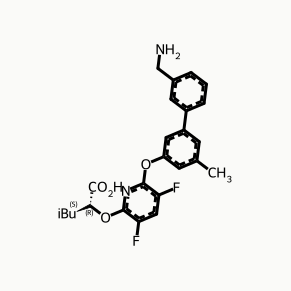 CC[C@H](C)[C@@H](Oc1nc(Oc2cc(C)cc(-c3cccc(CN)c3)c2)c(F)cc1F)C(=O)O